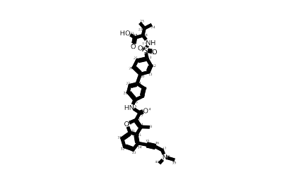 Cc1c(C(=O)Nc2ccc(-c3ccc(S(=O)(=O)NC(C(=O)O)C(C)C)cc3)cc2)oc2cccc(C#CCN(C)C)c12